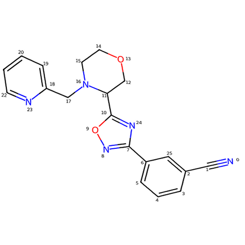 N#Cc1cccc(-c2noc(C3COCCN3Cc3ccccn3)n2)c1